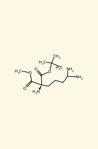 COC(=O)[C@@](N)(CCCC(N)N)C(=O)OC(C)(C)C